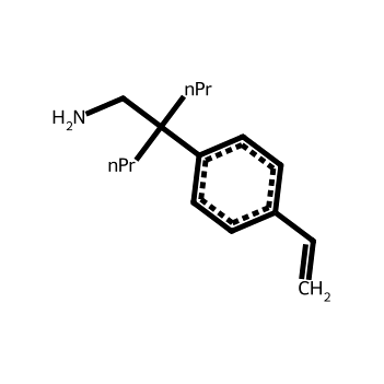 C=Cc1ccc(C(CN)(CCC)CCC)cc1